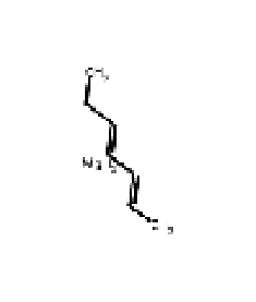 CC=C[C]=CCC.[MgH2]